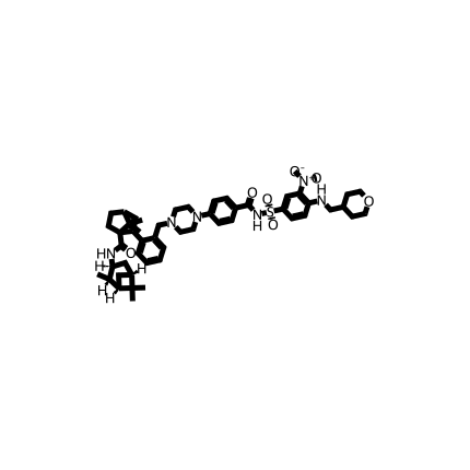 C[C@@H]1[C@@H](NC(=O)C23CCC(C=C2c2ccccc2CN2CCN(c4ccc(C(=O)NS(=O)(=O)c5ccc(NCC6CCOCC6)c([N+](=O)[O-])c5)cc4)CC2)C3(C)C)C[C@H]2C[C@@H]1C2(C)C